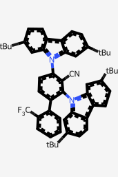 CC(C)(C)c1ccc2c3ccc(C(C)(C)C)cc3n(-c3ccc(-c4ccccc4C(F)(F)F)c(-n4c5cc(C(C)(C)C)ccc5c5ccc(C(C)(C)C)cc54)c3C#N)c2c1